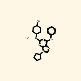 Cl.OC1CCC(Nc2nc(Nc3ccccc3)c3ncn(C4CCCC4)c3n2)CC1